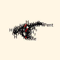 CCCCCOc1ccc(S(=O)(=O)NCCNCCNCc2c(O)cc3c(c2C)-c2cc(ccc2O)[C@H]2NC(=O)[C@@H]4NC(=O)[C@H](CC(N)=O)NC(=O)[C@H](NC(=O)[C@@H](CC(C)C)NC)[C@H](O)c5ccc(c(C)c5)Oc5cc4cc(c5O[C@@H]4O[C@H](CO)[C@@H](O)[C@H](O)[C@H]4O[C@H]4C[C@]5(C)NC(=O)O[C@@H]5[C@H](C)O4)Oc4ccc(cc4Cl)[C@@H](O)[C@H](NC2=O)C(=O)N[C@@H]3C(=O)O)cc1